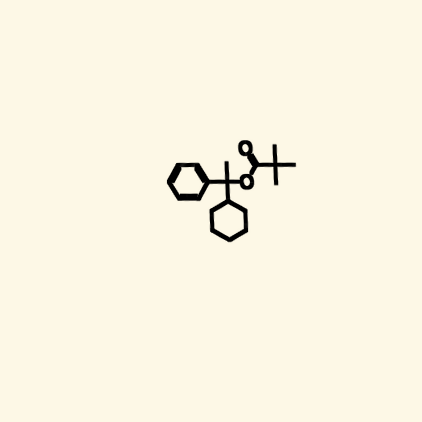 CC(C)(C)C(=O)OC(C)(c1ccccc1)C1CCCCC1